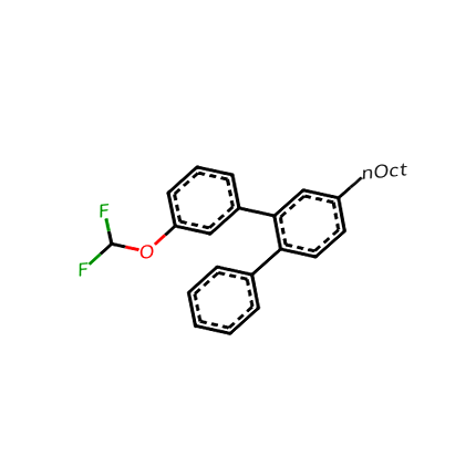 CCCCCCCCc1ccc(-c2ccccc2)c(-c2cccc(OC(F)F)c2)c1